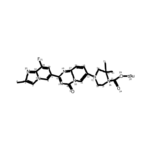 Cc1cn2cc(-c3nc(=O)n4cc(N5CCN(C(=O)OC(C)(C)C)C(C)(C)C5)ccc4n3)cc(F)c2n1